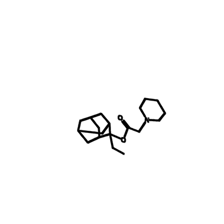 CCC1(OC(=O)CN2CCCCC2)C2CC3CC(C2)CC1C3